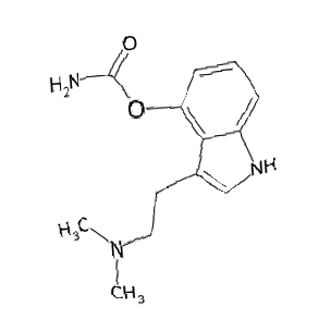 CN(C)CCc1c[nH]c2cccc(OC(N)=O)c12